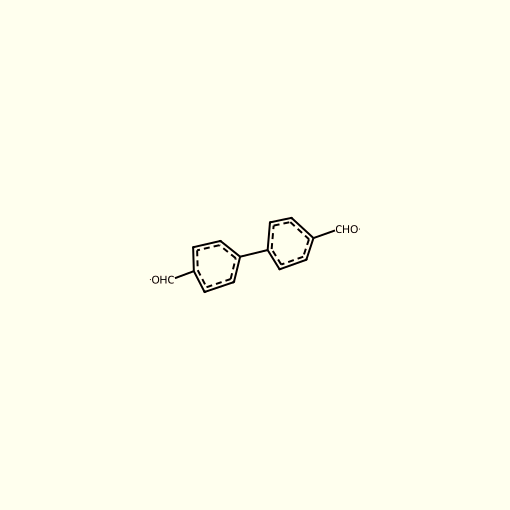 O=[C]c1ccc(-c2ccc([C]=O)cc2)cc1